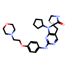 O=C1NCC[C@@]12Cc1cnc(Nc3ccc(OCCN4CCOCC4)cc3)nc1N2C1CCCC1